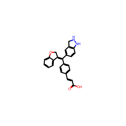 O=C(O)/C=C/c1ccc(/C(=C2/COc3ccccc32)c2ccc3c(c2)CNN3)cc1